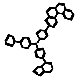 C1=CC2C=Cc3cc(-c4ccc(N(C5=CC=C(c6ccccc6)CC5)c5ccc(C6=CCCc7ccccc76)cc5)cc4)ccc3C2c2ccccc21